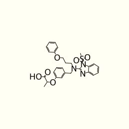 CC(Oc1cccc(CN(CCCOc2ccccc2)c2nc3ccccc3n2S(C)(=O)=O)c1)C(=O)O